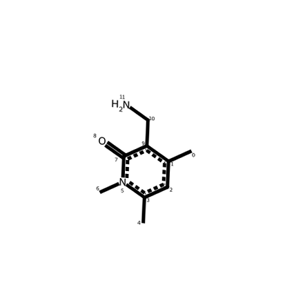 Cc1cc(C)n(C)c(=O)c1CN